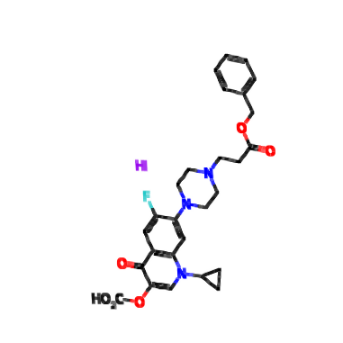 I.O=C(O)Oc1cn(C2CC2)c2cc(N3CCN(CCC(=O)OCc4ccccc4)CC3)c(F)cc2c1=O